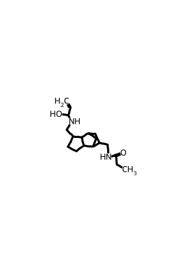 C=CC(O)NCC1CCC2C3CC(CC3CNC(=O)CC)C12